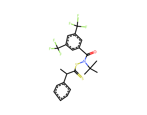 CC(C(=S)SN(C(=O)c1cc(C(F)(F)F)cc(C(F)(F)F)c1)C(C)(C)C)c1ccccc1